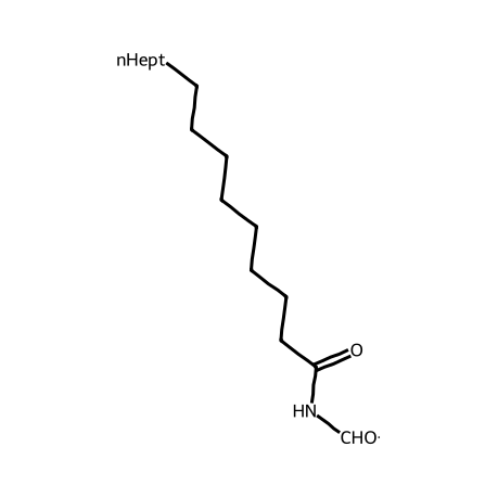 CCCCCCCCCCCCCCCC(=O)N[C]=O